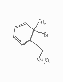 CCOC(=O)CC1C=CC=CC1(C)Br